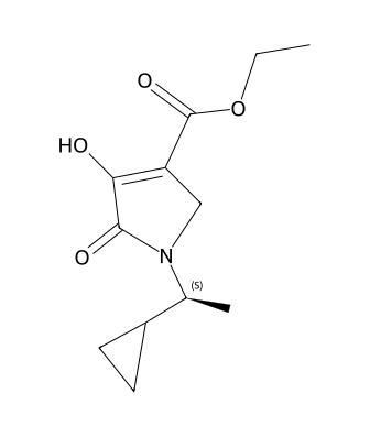 CCOC(=O)C1=C(O)C(=O)N([C@@H](C)C2CC2)C1